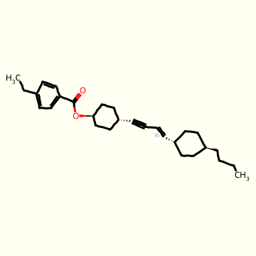 CCCC[C@H]1CC[C@H](/C=C/C#C[C@H]2CC[C@H](OC(=O)c3ccc(CC)cc3)CC2)CC1